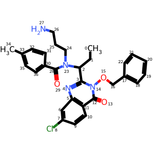 CCC(c1nc2cc(Cl)ccc2c(=O)n1OCc1ccccc1)N(CCCN)C(=O)c1ccc(C)cc1